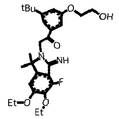 CCOc1cc2c(c(F)c1OCC)C(=N)N(CC(=O)c1cc(OCCO)cc(C(C)(C)C)c1)C2(C)C